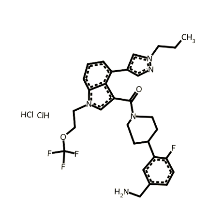 CCCn1cc(-c2cccc3c2c(C(=O)N2CCC(c4cc(CN)ccc4F)CC2)cn3CCOC(F)(F)F)cn1.Cl.Cl